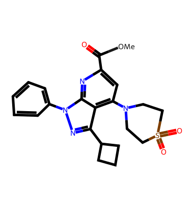 COC(=O)c1cc(N2CCS(=O)(=O)CC2)c2c(C3CCC3)nn(-c3ccccc3)c2n1